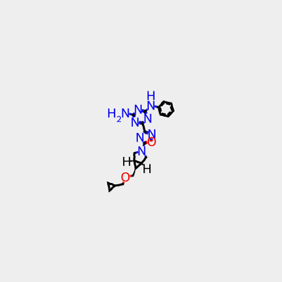 Nc1nc(Nc2ccccc2)nc(-c2noc(N3C[C@@H]4[C@@H](COCC5CC5)[C@@H]4C3)n2)n1